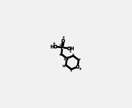 O=P(O)(O)CN1CCOCC1